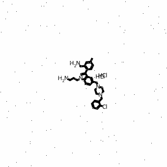 Cc1ccc(-c2cn(CCCN)c3ccc(CN4CCN(Cc5ccccc5Cl)CC4)cc23)c(CN)c1.Cl.Cl